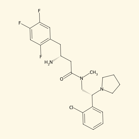 CN(C[C@@H](c1ccccc1Cl)N1CCCC1)C(=O)C[C@H](N)Cc1cc(F)c(F)cc1F